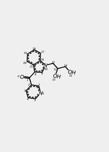 O=C(c1cccnc1)c1cn(CC(O)CO)c2ccccc12